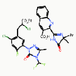 CC(C)C1(C)N=C(c2nc3ccccc3cc2C(=O)O)NC1=O.CCOC(=O)C(Cl)Cc1cc(-n2nc(C)n(C(F)F)c2=O)c(F)cc1Cl